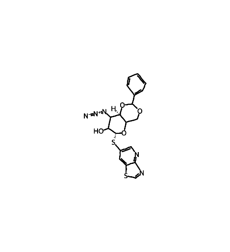 [N-]=[N+]=NC1C(O)[C@@H](Sc2cnc3ncsc3c2)OC2COC(c3ccccc3)O[C@@H]21